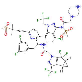 CC(C)(C#Cc1ccc(-c2ccc(Cl)c3c(N(C(=O)CN4CCNCC4)S(C)(=O)=O)nn(CC(F)(F)F)c23)c(C(Cc2cc(F)cc(F)c2)NC(=O)Cn2nc(C(F)(F)F)c3c2C(F)(F)[C@@H]2C[C@H]32)n1)S(C)(=O)=O